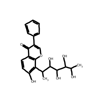 CC(O)C(O)C(O)C(O)C(C)c1c(O)ccc2c(=O)c(-c3ccccc3)coc12